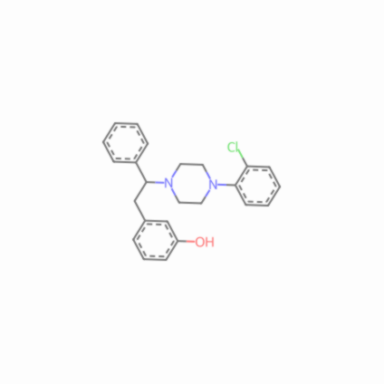 Oc1cccc(CC(c2ccccc2)N2CCN(c3ccccc3Cl)CC2)c1